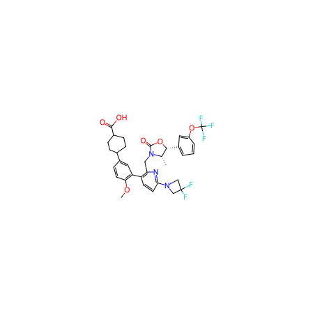 COc1ccc(C2CCC(C(=O)O)CC2)cc1-c1ccc(N2CC(F)(F)C2)nc1CN1C(=O)O[C@H](c2cccc(OC(F)(F)F)c2)[C@@H]1C